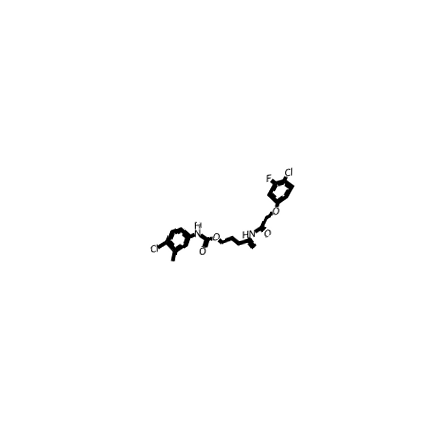 C=C(CCCOC(=O)Nc1ccc(Cl)c(C)c1)NC(=O)COc1ccc(Cl)c(F)c1